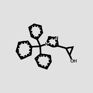 OC1CC1c1cn(C(c2ccccc2)(c2ccccc2)c2ccccc2)cn1